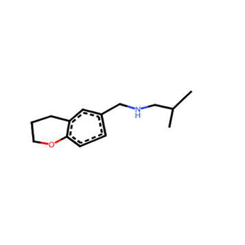 CC(C)CNCc1ccc2c(c1)CCCO2